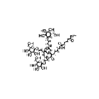 CCCC(=O)CCCCC(=O)NCCCC[C@@H](C(=O)NCCOC1O[C@H](CO)[C@@H](O)[C@H](O)[C@@H]1O)N(CC(=O)NCCOC1C[C@H](CO)[C@@H](O)[C@H](O)[C@@H]1O)CC(=O)NCCOC1O[C@H](CO)[C@@H](O)[C@H](O)[C@@H]1O